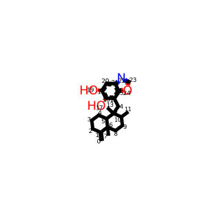 C=C1CCCC2C1(C)CCC(C)C2(C)Cc1c(O)c(O)cc2ncoc12